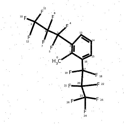 Cc1c(C(F)(F)C(F)(F)C(F)(F)F)cccc1C(F)(F)C(F)(F)C(F)(F)F